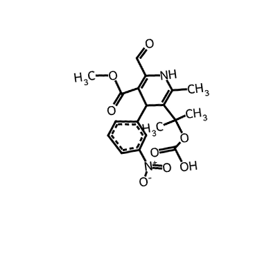 COC(=O)C1=C(C=O)NC(C)=C(C(C)(C)OC(=O)O)C1c1cccc([N+](=O)[O-])c1